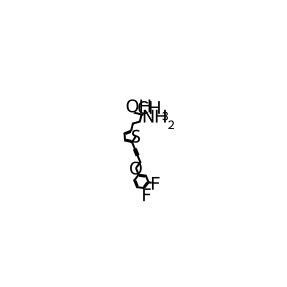 CC(N)(CO)CCc1ccc(C#CCOc2ccc(F)c(F)c2)s1